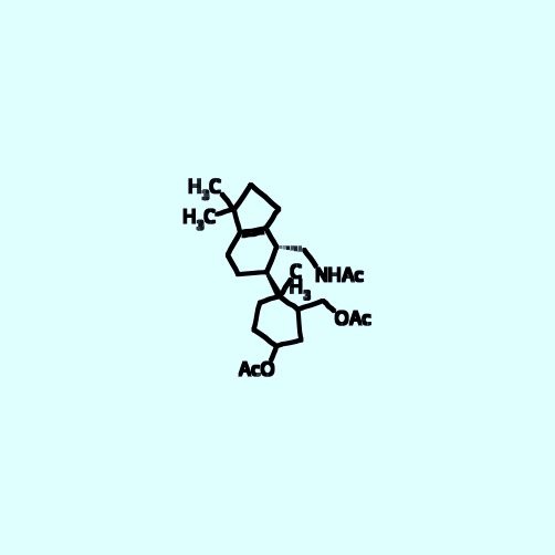 CC(=O)NC[C@H]1C2=C(CC[C@@H]1C1(C)CCC(OC(C)=O)CC1COC(C)=O)C(C)(C)CC2